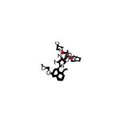 CCc1cccc2cc(OCOC)cc(-c3ncc4c(N5CC6CCC(C5)N6C(=O)OC(C)(C)C)nc(N5CC(=O)C5)nc4c3F)c12